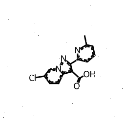 Cc1cccc(-c2nn3cc(Cl)ccc3c2C(=O)O)n1